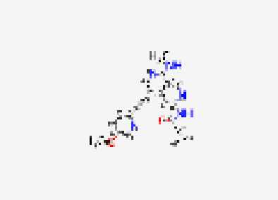 CNc1ncc(C#Cc2ccc(OC)cn2)c2cc(NC(=O)C3CC3)ncc12